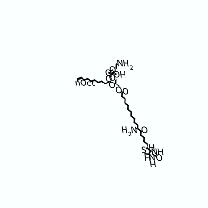 CCCCCCCC/C=C\CCCCCCCC(=O)O[C@H](COC(=O)CCCCCCCCCCC(N)C(=O)CCCC[C@@H]1SC[C@@H]2NC(=O)N[C@@H]21)COP(=O)(O)OCCN